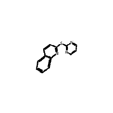 c1cnc(Sc2ccc3ccccc3n2)nc1